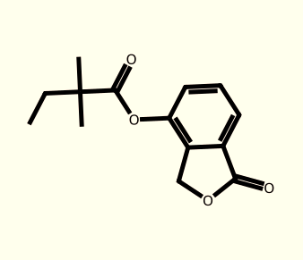 CCC(C)(C)C(=O)Oc1cccc2c1COC2=O